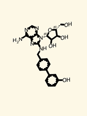 Nc1ncnc2c1nc(NCc1ccc(-c3cccc(O)c3)cc1)n2[C@@H]1O[C@H](CO)C(O)C1O